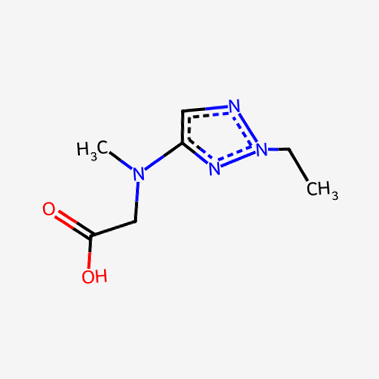 CCn1ncc(N(C)CC(=O)O)n1